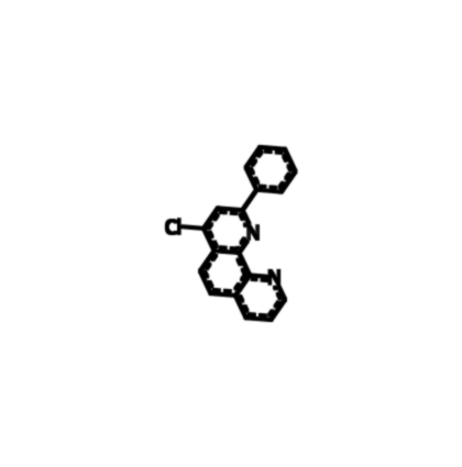 Clc1cc(-c2ccccc2)nc2c1ccc1cccnc12